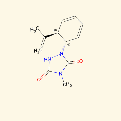 C=C(C)[C@H]1C=CC=C[C@@H]1n1[nH]c(=O)n(C)c1=O